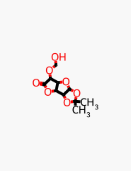 CC1(C)OC2OC3C(OCO)C(=O)OC3C2O1